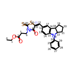 CCOC(=O)CCN1C(=O)/C(=C\c2ccc3c(c2)C2CCCC2N3c2ccccc2)SC1=S